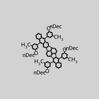 CCCCCCCCCCOc1cc(C)cc(-c2c3c(c(-c4cc(C)cc(OCCCCCCCCCC)c4)c4ccccc24)-c2ccc4c5c(ccc-3c25)-c2cc3c(-c5cc(C)cc(OCCCCCCCCCC)c5)c5ccccc5c(-c5cc(C)cc(OCCCCCCCCCC)c5)c3cc2-4)c1